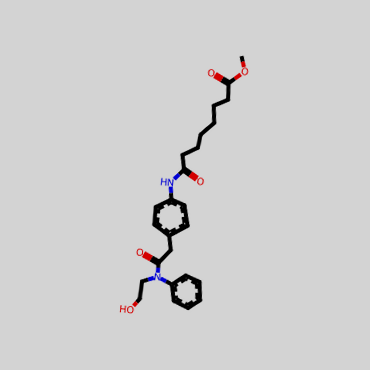 COC(=O)CCCCCCC(=O)Nc1ccc(CC(=O)N(CCO)c2ccccc2)cc1